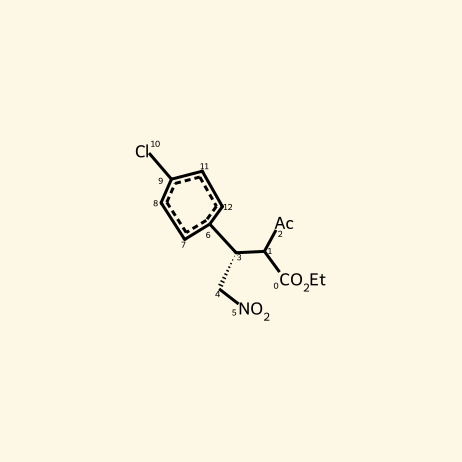 CCOC(=O)C(C(C)=O)[C@H](C[N+](=O)[O-])c1ccc(Cl)cc1